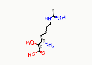 CC(=N)NCCCC[C@H](N)[C@H](O)C(=O)O